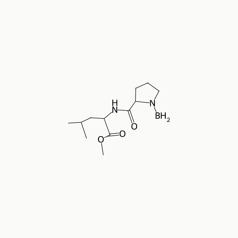 BN1CCCC1C(=O)NC(CC(C)C)C(=O)OC